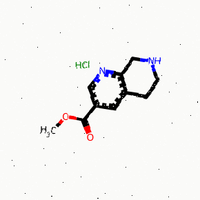 COC(=O)c1cnc2c(c1)CCNC2.Cl